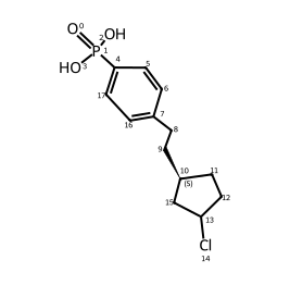 O=P(O)(O)c1ccc(CC[C@H]2CCC(Cl)C2)cc1